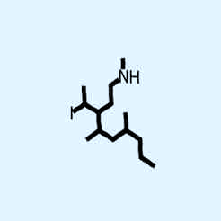 CCCC(C)CC(C)C(CCNC)C(C)I